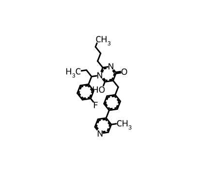 CCCCc1nc(=O)c(Cc2ccc(-c3ccncc3C)cc2)c(O)n1C(CC)c1cccc(F)c1